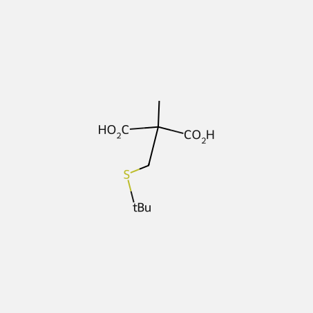 CC(C)(C)SCC(C)(C(=O)O)C(=O)O